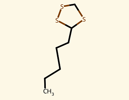 CCCCCC1SCSS1